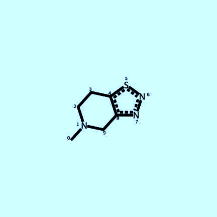 CN1CCc2snnc2C1